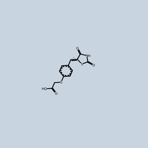 O=C(O)COc1ccc(/C=C2\SC(=O)NC2=O)cc1